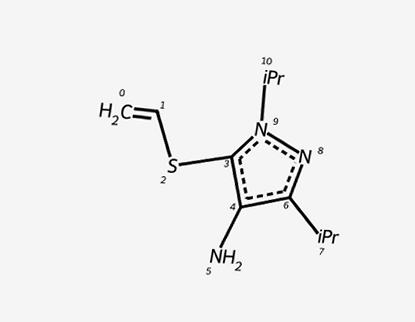 C=CSc1c(N)c(C(C)C)nn1C(C)C